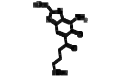 CCCCCCCCCCCCCC(=O)C1=CC2=NC(CCCCCCCCCC)=NC2=C(N)C1=O